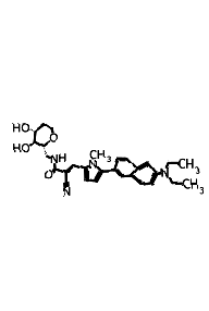 CCN(CC)c1ccc2cc(-c3ccc(/C=C(\C#N)C(=O)NC[C@H]4OCC[C@@H](O)[C@@H]4O)n3C)ccc2c1